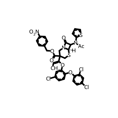 CC=C(Oc1cc(Cl)ccc1Oc1ccc(Cl)cc1Cl)C1(C(=O)OCc2ccc([N+](=O)[O-])cc2)CS[C@@H]2C(N(C(C)=O)c3cccs3)C(=O)N2C1